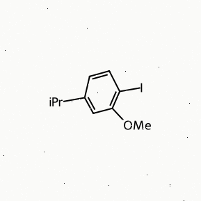 [CH2]C(C)c1ccc(I)c(OC)c1